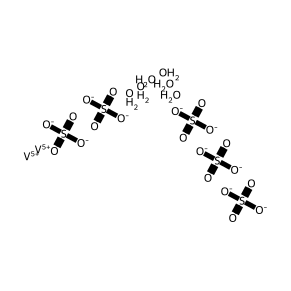 O.O.O.O.O.O.O=S(=O)([O-])[O-].O=S(=O)([O-])[O-].O=S(=O)([O-])[O-].O=S(=O)([O-])[O-].O=S(=O)([O-])[O-].[V+5].[V+5]